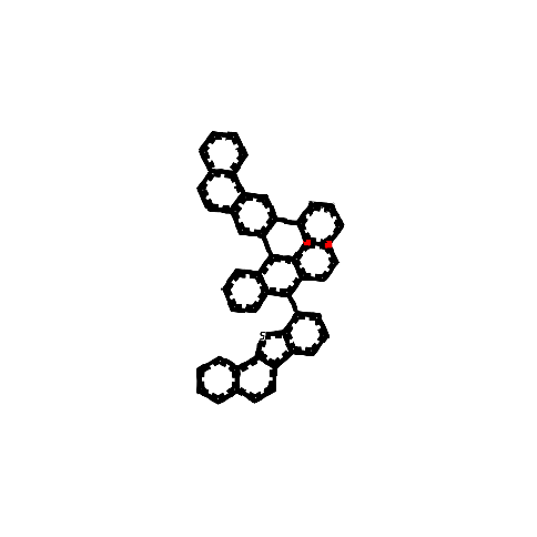 c1ccc(-c2cc3c(ccc4ccccc43)cc2-c2c3ccccc3c(-c3cccc4c3sc3c5ccccc5ccc43)c3ccccc23)cc1